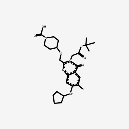 CC(C)(C)OC(=O)Cn1c(CSC2CCN(C(=O)O)CC2)nc2cc(NC3CCCC3)c(F)cc2c1=O